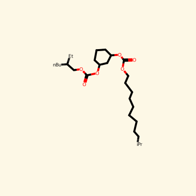 CCCCC(CC)COC(=O)OC1CCCC(OC(=O)OCCCCCCCCCC(C)C)C1